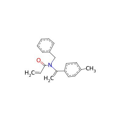 C=CC(=O)N(Cc1ccccc1)C(=C)c1ccc(C)cc1